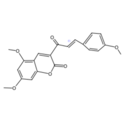 COc1ccc(/C=C/C(=O)c2cc3c(OC)cc(OC)cc3oc2=O)cc1